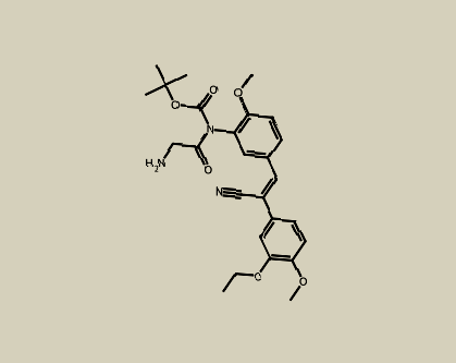 CCOc1cc(C(C#N)=Cc2ccc(OC)c(N(C(=O)CN)C(=O)OC(C)(C)C)c2)ccc1OC